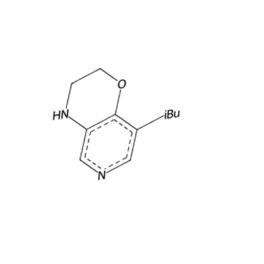 CCC(C)c1cncc2c1OCCN2